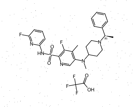 Cc1c(N(C)C2CCN([C@H](C)c3ccccc3)CC2)cnc(S(=O)(=O)Nc2cccc(F)n2)c1F.O=C(O)C(F)(F)F